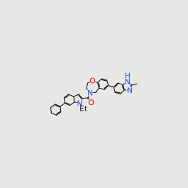 CCN1C(C(=O)N2CCOc3ccc(-c4ccc5nc(C)[nH]c5c4)cc3C2)=CC2C=CC(C3=CCCC=C3)=CC21